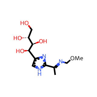 COCN=C(C)c1nc([C@@H](O)[C@H](O)[C@H](O)CO)c[nH]1